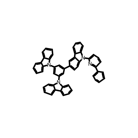 c1ccc(-c2cccc(-n3c4ccccc4c4cc(-c5cc(-n6c7ccccc7c7ccccc76)cc(-n6c7ccccc7c7ccccc76)c5)ccc43)n2)cc1